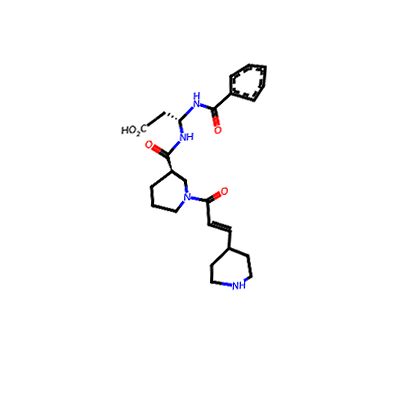 O=C(O)C[C@H](NC(=O)c1ccccc1)NC(=O)[C@@H]1CCCN(C(=O)/C=C/C2CCNCC2)C1